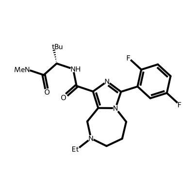 CCN1CCCn2c(-c3cc(F)ccc3F)nc(C(=O)N[C@H](C(=O)NC)C(C)(C)C)c2C1